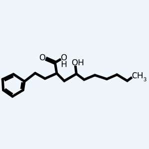 CCCCCCC(O)CC(CCc1ccccc1)C(=O)O